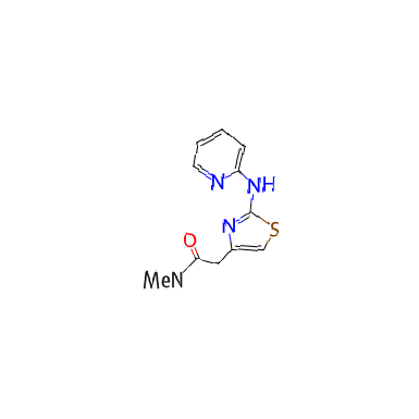 CNC(=O)Cc1csc(Nc2ccccn2)n1